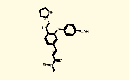 CCN(CC)C(=O)/C=C/c1ccc(NC[C@@H]2CCCN2)c(Oc2ccc(OC)cc2)c1